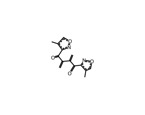 C=C(C(=C)C(=O)c1nocc1C)C(=O)c1nocc1C